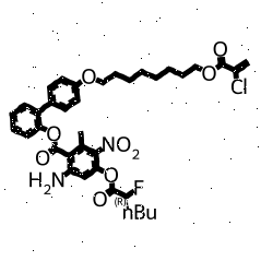 C=C(Cl)C(=O)OCCCCCCCCOc1ccc(-c2ccccc2OC(=O)c2c(N)cc(OC(=O)[C@H](F)CCCC)c([N+](=O)[O-])c2C)cc1